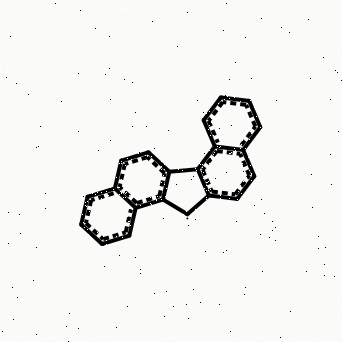 [CH]1c2ccc3ccccc3c2-c2ccc3ccccc3c21